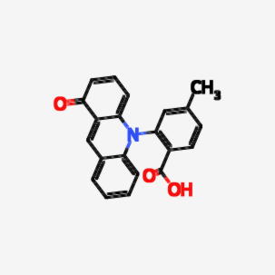 Cc1ccc(C(=O)O)c(-n2c3cccc(=O)c-3cc3ccccc32)c1